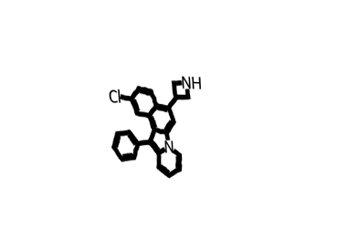 Clc1ccc2c(C3CNC3)cc3c(c(-c4ccccc4)c4ccccn43)c2c1